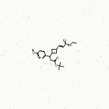 CCOC(=O)C=CC1CC(C(CC(=O)OC(C)(C)C)c2ccc(OC)nc2)C1